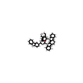 C/C=C\C(=C/CC)c1nc(-c2ccc3oc4ccccc4c3c2)nc(-n2c3ccccc3c3ccc4c5ccccc5n(-c5ccccc5)c4c32)n1